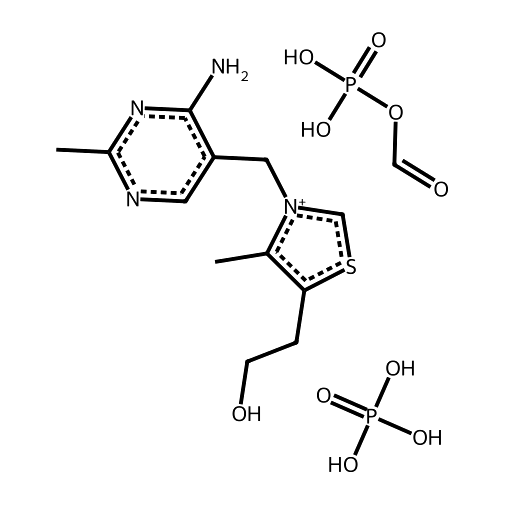 Cc1ncc(C[n+]2csc(CCO)c2C)c(N)n1.O=COP(=O)(O)O.O=P(O)(O)O